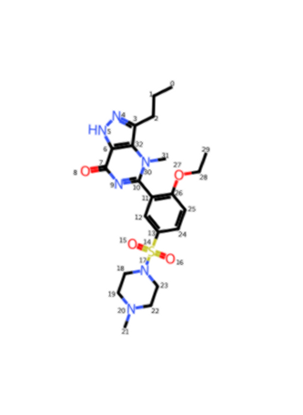 CCCc1n[nH]c2c(=O)nc(-c3cc(S(=O)(=O)N4CCN(C)CC4)ccc3OCC)n(C)c12